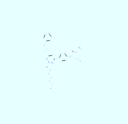 CCCCCCCC(C)c1nc(CCCc2ccccc2)cc(-c2ccc(N(CCN)C(=O)OC(C)(C)C)cc2)n1